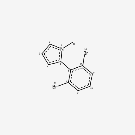 Cn1c[c]cc1-c1c(Br)cccc1Br